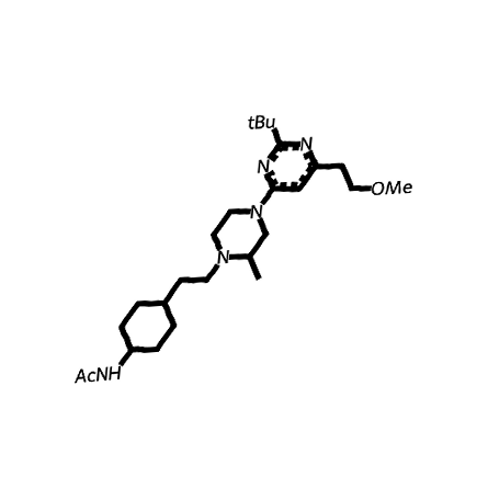 COCCc1cc(N2CCN(CCC3CCC(NC(C)=O)CC3)C(C)C2)nc(C(C)(C)C)n1